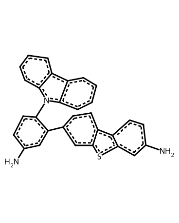 Nc1ccc(-n2c3ccccc3c3ccccc32)c(-c2ccc3c(c2)sc2cc(N)ccc23)c1